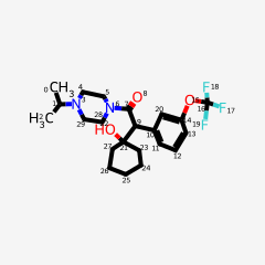 CC(C)N1CCN(C(=O)C(c2cccc(OC(F)(F)F)c2)C2(O)CCCCC2)CC1